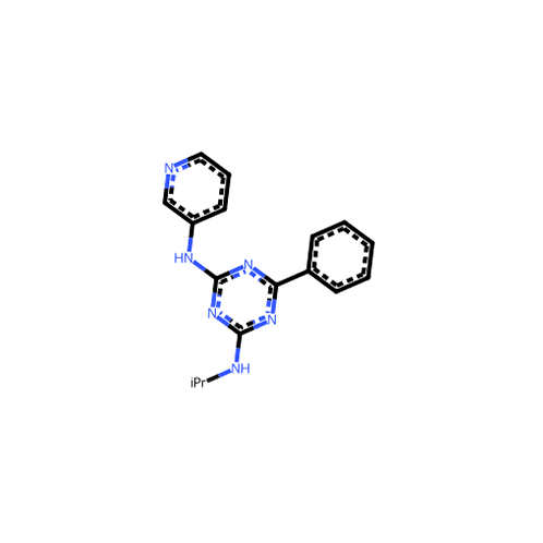 CC(C)Nc1nc(Nc2cccnc2)nc(-c2ccccc2)n1